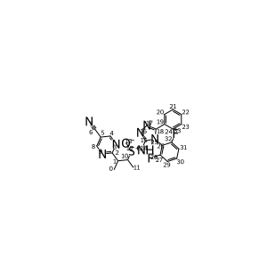 CC(c1ncc(C#N)cn1)C(C)[S+]([O-])Nc1nnc(-c2ccccc2)n1-c1c(F)cccc1F